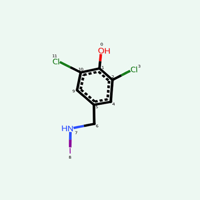 Oc1c(Cl)cc(CNI)cc1Cl